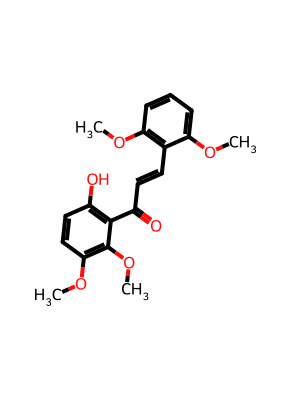 COc1cccc(OC)c1/C=C/C(=O)c1c(O)ccc(OC)c1OC